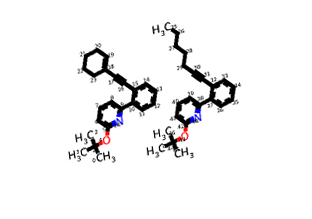 CC(C)(C)Oc1cccc(-c2ccccc2C#CC2=CCCCC2)n1.CCCCCC#Cc1ccccc1-c1cccc(OC(C)(C)C)n1